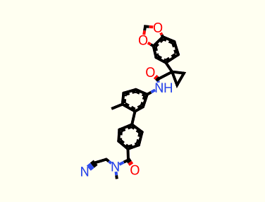 Cc1ccc(NC(=O)C2(c3ccc4c(c3)OCO4)CC2)cc1-c1ccc(C(=O)N(C)CC#N)cc1